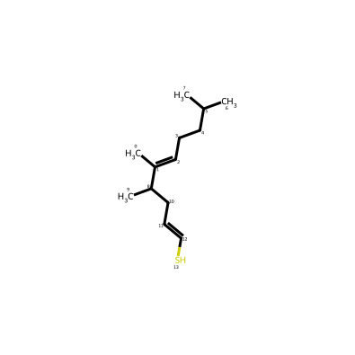 C/C(=C\CCC(C)C)C(C)C/C=C/S